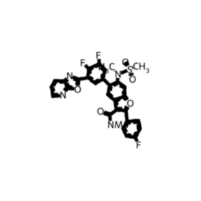 CNC(=O)c1c(-c2ccc(F)cc2)oc2cc(N(C)S(C)(=O)=O)c(-c3cc(F)c(F)c(-c4nc5cccnc5o4)c3)cc12